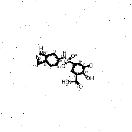 NC(=O)c1cc(S(=O)(=O)Nc2ccc3cn[nH]c3c2)cc(Cl)c1O